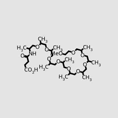 COCCOCC(C)OCC(C)OCC(C)OCC(C)OCC(C)OCC(C)OCC(C)OCC(C)OCC(C)NC(=O)CCC(=O)O